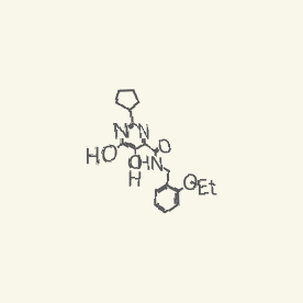 CCOc1ccccc1CNC(=O)c1nc(C2CCCC2)nc(O)c1O